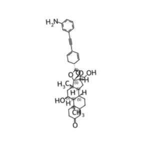 C[C@]12CCC(=O)C=C1CC[C@@H]1[C@@H]2[C@@H](O)C[C@@]2(C)[C@H]1C[C@H]1O[C@@H](C3C=CC(C#Cc4cccc(N)c4)=CC3)O[C@]12C(=O)CO